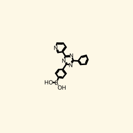 OB(O)c1ccc(-c2nc(-c3ccccc3)nc(-c3cccnc3)n2)cc1